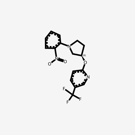 O=[N+]([O-])c1ccccc1N1CC[C@@H](Oc2ccc(C(F)(F)F)cn2)C1